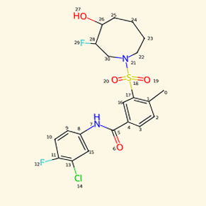 Cc1ccc(C(=O)Nc2ccc(F)c(Cl)c2)cc1S(=O)(=O)N1CCCCC(O)C(F)C1